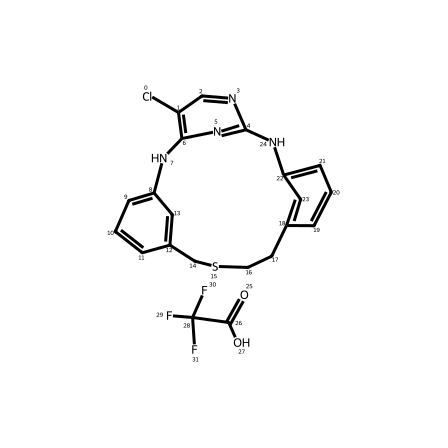 Clc1cnc2nc1Nc1cccc(c1)CSCCc1cccc(c1)N2.O=C(O)C(F)(F)F